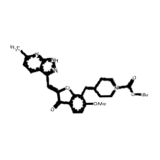 COc1ccc2c(c1CC1CCN(C(=O)OC(C)(C)C)CC1)O/C(=C\c1n[nH]c3nc(C)ccc13)C2=O